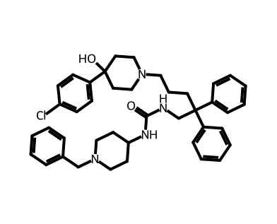 O=C(NCC(CCCN1CCC(O)(c2ccc(Cl)cc2)CC1)(c1ccccc1)c1ccccc1)NC1CCN(Cc2ccccc2)CC1